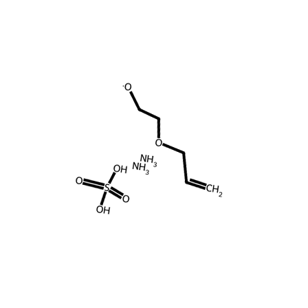 C=CCOCC[O].N.N.O=S(=O)(O)O